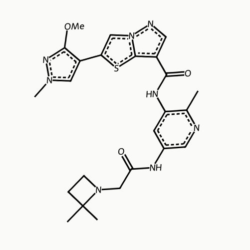 COc1nn(C)cc1-c1cn2ncc(C(=O)Nc3cc(NC(=O)CN4CCC4(C)C)cnc3C)c2s1